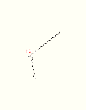 CCCCCCCCCCCCCCC(O)C(C)CCCCCCCCC